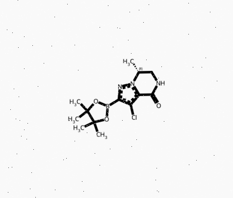 C[C@@H]1CNC(=O)c2c(Cl)c(B3OC(C)(C)C(C)(C)O3)nn21